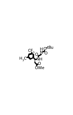 COC(=O)C[C@H](NC(=O)CNC(=O)OC(C)(C)C)c1cc(C)cc(C(F)(F)F)c1